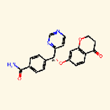 NC(=O)c1ccc([C@@H](Oc2ccc3c(c2)OCCC3=O)c2ccncn2)cc1